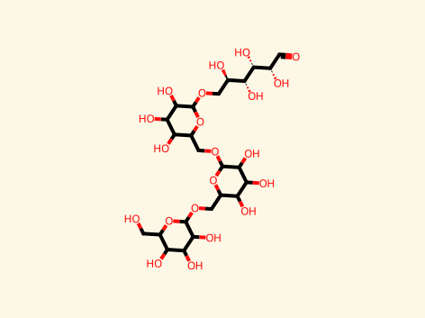 O=C[C@H](O)[C@@H](O)[C@H](O)[C@H](O)COC1OC(COC2OC(COC3OC(CO)C(O)C(O)C3O)C(O)C(O)C2O)C(O)C(O)C1O